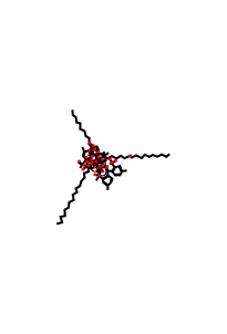 CCCCCCCCCCCCCCCCC(C)C(OP(OC(c1ccc(C)cc1C(C)(C)C)(c1ccc(C)cc1C(C)(C)C)C(C)CCCCCCCCCCCCCCCC)OC(c1ccc(C)cc1C(C)(C)C)(c1ccc(C)cc1C(C)(C)C)C(C)CCCCCCCCCCCCCCCC)(c1ccc(C)cc1C(C)(C)C)c1ccc(C)cc1C(C)(C)C